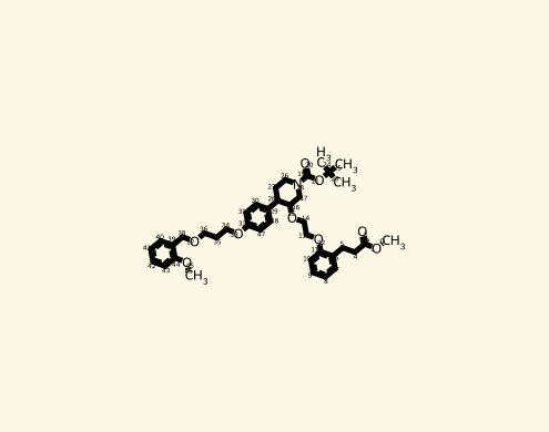 COC(=O)CCc1ccccc1OCCOC1CN(C(=O)OC(C)(C)C)CCC1c1ccc(OCCCOCc2ccccc2OC)cc1